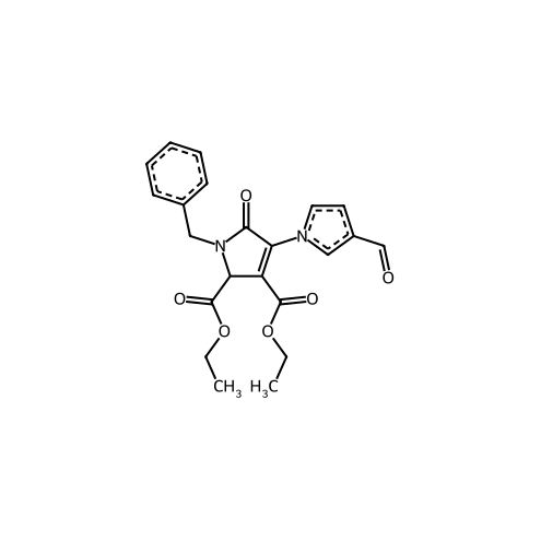 CCOC(=O)C1=C(n2ccc(C=O)c2)C(=O)N(Cc2ccccc2)C1C(=O)OCC